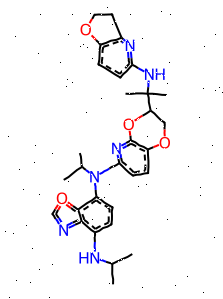 CC(C)Nc1ccc(N(c2ccc3c(n2)OC(C(C)(C)Nc2ccc4c(n2)CCO4)CO3)C(C)C)c2ocnc12